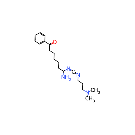 CN(C)CCCN=C=NC(N)CCCCCC(=O)c1ccccc1